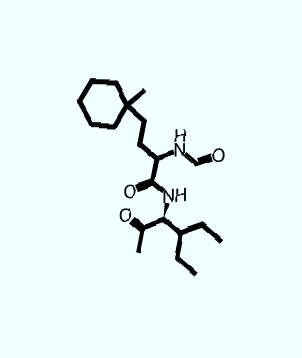 CCC(CC)[C@H](NC(=O)C(CCC1(C)CCCCC1)NC=O)C(C)=O